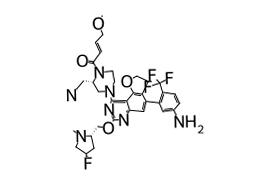 COC/C=C/C(=O)N1CCN(c2nc(OC[C@@H]3C[C@@H](F)CN3C)nc3cc(-c4cc(N)ccc4C(F)(F)F)c4c(c23)OCC4)C[C@@H]1CC#N